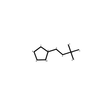 [CH2]C(C)(C)CCC1CCCC1